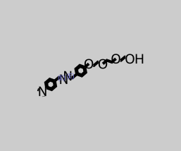 CN(C)c1ccc(/C=N/N=C/c2ccc(OCCOCCOCCO)cc2)cc1